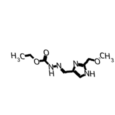 CCOC(=O)NN=Cc1c[nH]c(COC)n1